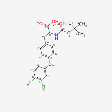 CC(C)(C)OC(=O)NC(Cc1ccc(Oc2ccc(F)c(Cl)c2)cc1)C(=O)O